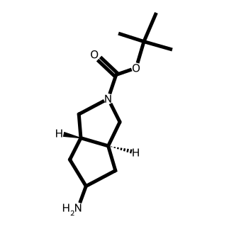 CC(C)(C)OC(=O)N1C[C@H]2CC(N)C[C@@H]2C1